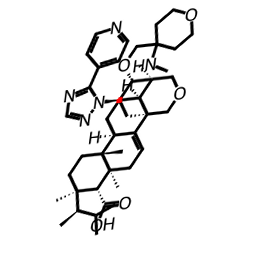 CNC1(CO[C@H]2[C@H](n3ncnc3-c3ccncc3)C[C@@]34COC[C@@]2(C)[C@@H]3CC[C@H]2C4=CC[C@@]3(C)[C@H](C(=O)O)[C@@](C)([C@H](C)C(C)C)CC[C@]23C)CCOCC1